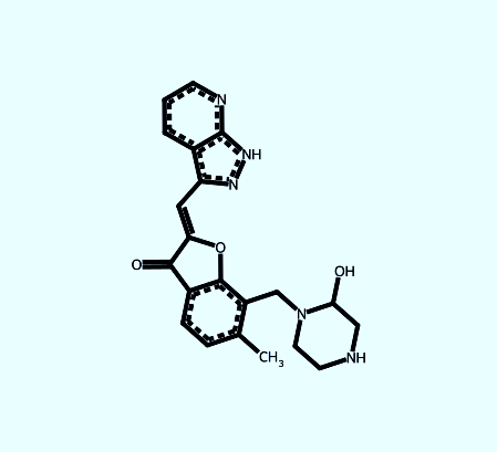 Cc1ccc2c(c1CN1CCNCC1O)O/C(=C\c1n[nH]c3ncccc13)C2=O